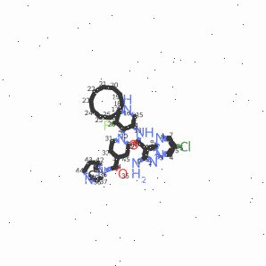 Nc1nn2cc(Cl)cnc2c1C(=O)NC1CNC2(CCCCCCCCC2)C(F)C1N1CCC(C(=O)N2CCN3CCC2CC3)CC1